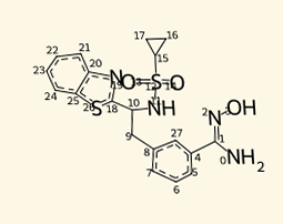 NC(=NO)c1cccc(CC(NS(=O)(=O)C2CC2)c2nc3ccccc3s2)c1